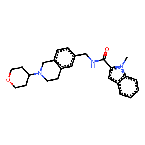 Cn1c(C(=O)NCc2ccc3c(c2)CCN(C2CCOCC2)C3)cc2ccccc21